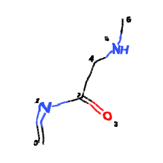 C=NC(=O)CNC